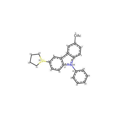 CC(=O)Oc1ccc2c(c1)c1cc([S+]3CCCC3)ccc1n2-c1ccccc1